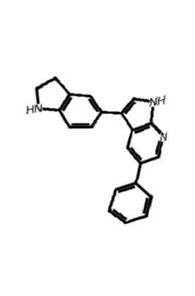 c1ccc(-c2cnc3[nH]cc(-c4ccc5c(c4)CCN5)c3c2)cc1